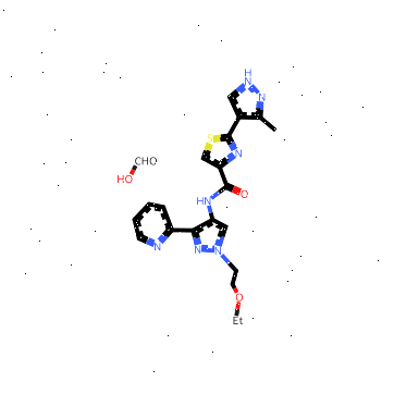 CCOCCn1cc(NC(=O)c2csc(-c3c[nH]nc3C)n2)c(-c2ccccn2)n1.O=CO